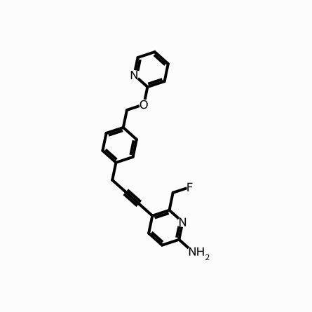 Nc1ccc(C#CCc2ccc(COc3ccccn3)cc2)c(CF)n1